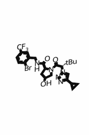 CC(C)(C)[C@@H](C(=O)N1CC(O)CC1C(=O)NCc1cc(C(F)(F)F)ccc1Br)n1cc(C2CC2)nn1